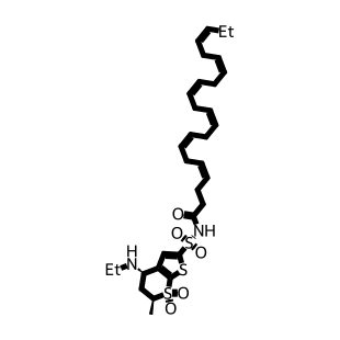 CC/C=C\C/C=C\C/C=C\C/C=C\C/C=C\C/C=C\CCC(=O)NS(=O)(=O)c1cc2c(s1)S(=O)(=O)[C@@H](C)C[C@@H]2NCC